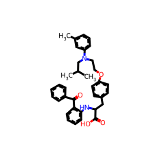 Cc1cccc(N(CCOc2ccc(CC(Nc3ccccc3C(=O)c3ccccc3)C(=O)O)cc2)CC(C)C)c1